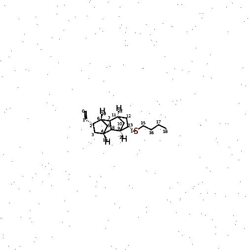 C=C[C@H]1C[C@@H]2C[C@H]1C1C2[C@H]2C[C@@H]1C[C@@H]2SCCCC